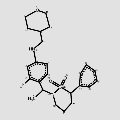 CC(c1ccc(NCC2CCOCC2)cc1F)N1CCCC(c2ccccc2)S1(=O)=O